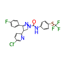 O=C(Nc1ccc(SC(F)(F)F)cc1)N1CC(c2ccc(Cl)cn2)C(c2ccc(F)cc2)=N1